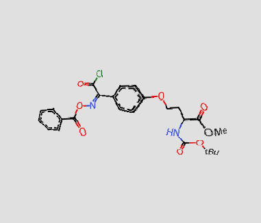 COC(=O)C(CCOc1ccc(C(=NOC(=O)c2ccccc2)C(=O)Cl)cc1)NC(=O)OC(C)(C)C